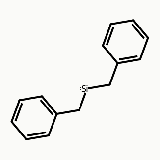 c1ccc(C[Si]Cc2ccccc2)cc1